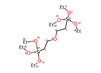 CCO[Si](CCOCC[Si](OCC)(OCC)OCC)(OCC)OCC